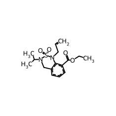 C=CCN1c2c(cccc2C(=O)OCC)CN(C(C)C)S1(=O)=O